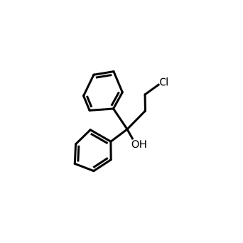 OC(CCCl)(c1ccccc1)c1ccccc1